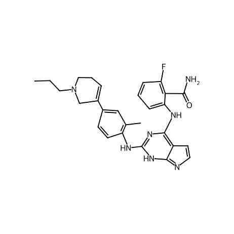 CCCN1CCC=C(c2ccc(Nc3nc(Nc4cccc(F)c4C(N)=O)c4ccnc-4[nH]3)c(C)c2)C1